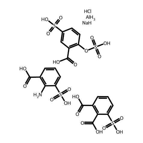 Cl.Nc1c(C(=O)O)cccc1S(=O)(=O)O.O=C(O)c1cc(S(=O)(=O)O)ccc1OS(=O)(=O)O.O=C(O)c1cccc(S(=O)(=O)O)c1C(=O)O.[AlH3].[NaH]